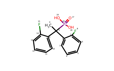 CC(c1ccccc1F)(c1ccccc1F)P(=O)(O)O